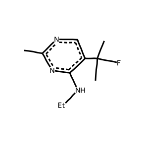 CCNc1nc(C)ncc1C(C)(C)F